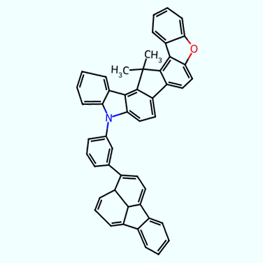 CC1(C)c2c(ccc3oc4ccccc4c23)-c2ccc3c(c21)c1ccccc1n3-c1cccc(C2=CC=C3c4ccccc4C4=CC=CC2C43)c1